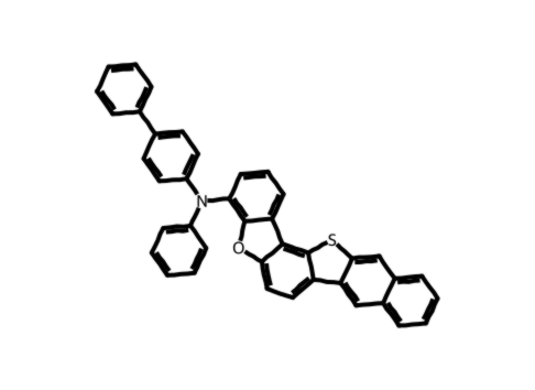 c1ccc(-c2ccc(N(c3ccccc3)c3cccc4c3oc3ccc5c6cc7ccccc7cc6sc5c34)cc2)cc1